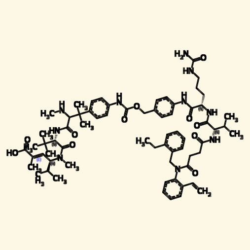 C=Cc1ccccc1N(Cc1ccccc1CC)C(=O)CCC(=O)N[C@H](C(=O)N[C@@H](CCCNC(N)=O)C(=O)Nc1ccc(COC(=O)Nc2ccc(C(C)(C)C(NC)C(=O)N[C@H](C(=O)N(C)[C@H](/C=C(\C)C(=O)O)C(C)C)C(C)(C)C)cc2)cc1)C(C)C